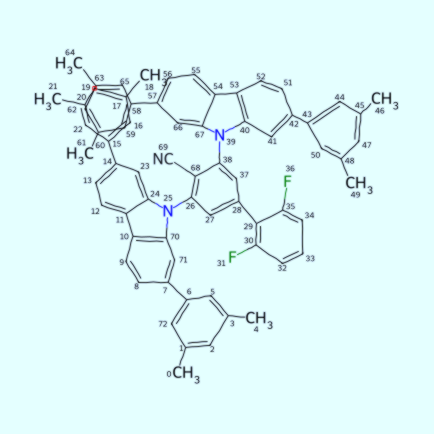 Cc1cc(C)cc(-c2ccc3c4ccc(-c5cc(C)cc(C)c5)cc4n(-c4cc(-c5c(F)cccc5F)cc(-n5c6cc(-c7cc(C)cc(C)c7)ccc6c6ccc(-c7cc(C)cc(C)c7)cc65)c4C#N)c3c2)c1